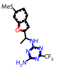 CSc1ccc2cc(C(C)Nc3nc(N)nc(C(F)(F)F)n3)oc2c1